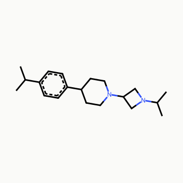 CC(C)c1ccc(C2CCN(C3CN(C(C)C)C3)CC2)cc1